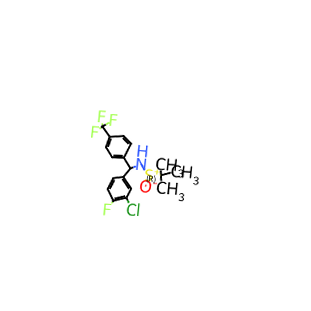 CC(C)(C)[S@+]([O-])NC(c1ccc(C(F)(F)F)cc1)c1ccc(F)c(Cl)c1